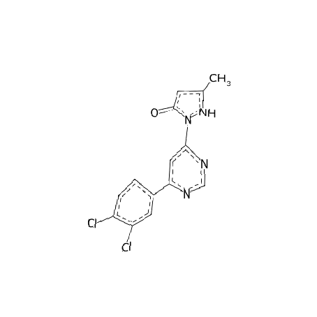 Cc1cc(=O)n(-c2cc(-c3ccc(Cl)c(Cl)c3)ncn2)[nH]1